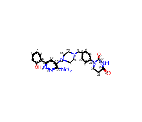 Nc1nnc(-c2ccccc2O)cc1N1CCN(Cc2ccc(N3CCC(=O)NC3=O)cc2)CC1